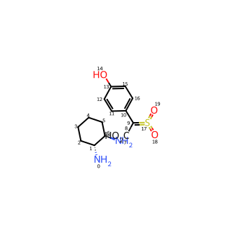 N[C@@H]1CCCC[C@H]1N.O=C(O)C(c1ccc(O)cc1)=S(=O)=O